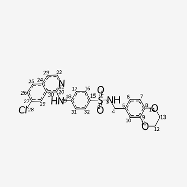 O=S(=O)(NCc1ccc2c(c1)OCCO2)c1ccc(Nc2nccc3ccc(Cl)cc23)cc1